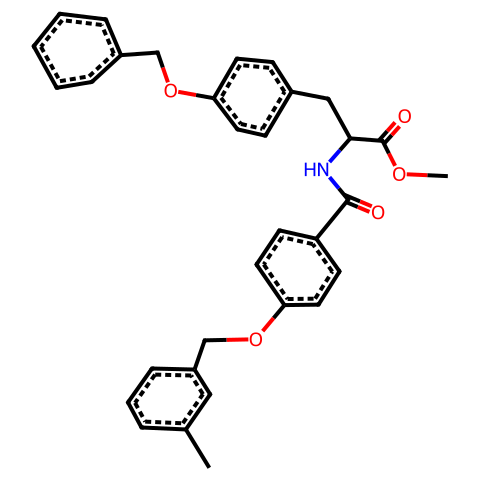 COC(=O)C(Cc1ccc(OCc2ccccc2)cc1)NC(=O)c1ccc(OCc2cccc(C)c2)cc1